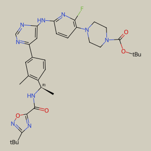 Cc1cc(-c2cc(Nc3ccc(N4CCN(C(=O)OC(C)(C)C)CC4)c(F)n3)ncn2)ccc1[C@@H](C)NC(=O)c1nc(C(C)(C)C)no1